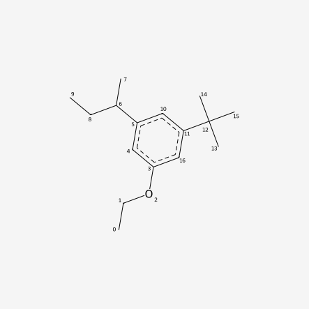 CCOc1cc(C(C)CC)cc(C(C)(C)C)c1